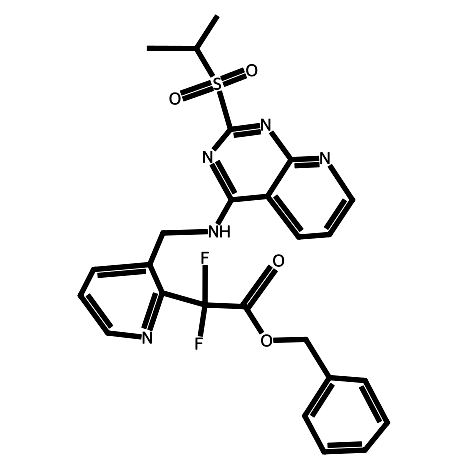 CC(C)S(=O)(=O)c1nc(NCc2cccnc2C(F)(F)C(=O)OCc2ccccc2)c2cccnc2n1